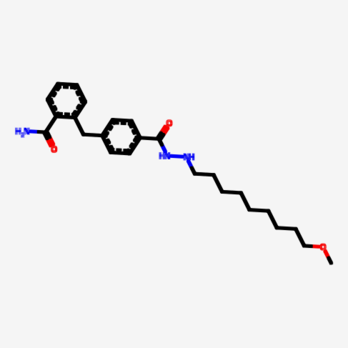 COCCCCCCCCCNNC(=O)c1ccc(Cc2ccccc2C(N)=O)cc1